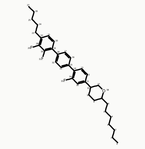 CCCCCCCC1CCC(c2ccc(-c3ccc(-c4ccc(CCCCC)c(F)c4F)cc3)c(F)c2)CO1